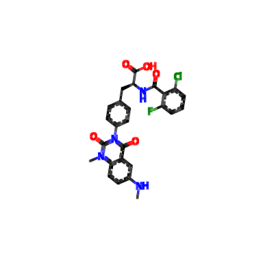 CNc1ccc2c(c1)c(=O)n(-c1ccc(C[C@H](NC(=O)c3c(F)cccc3Cl)C(=O)O)cc1)c(=O)n2C